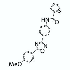 COc1ccc(-c2nc(-c3ccc(NC(=O)c4cccs4)cc3)no2)cc1